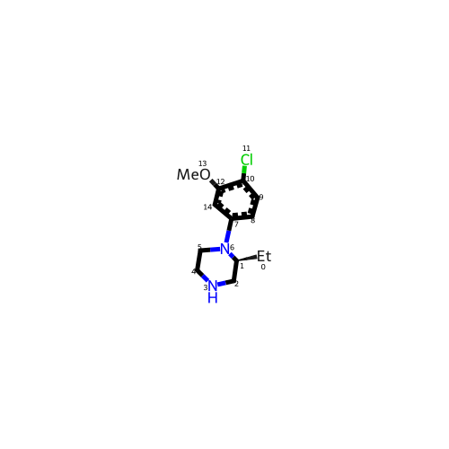 CC[C@H]1CNCCN1c1ccc(Cl)c(OC)c1